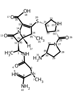 CC(NC(=O)CN(C)C(=N)N)[C@H]1C(=O)N2C(C(=O)O)=C(S[C@@H]3CN[C@H](C(=O)N4CC[C@@H](N)C4)C3)[C@H](C)[C@H]12